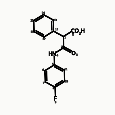 O=C(O)C(C(=O)Nc1ccc(F)cc1)c1ccccc1